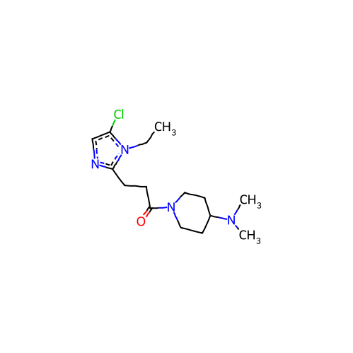 CCn1c(Cl)cnc1CCC(=O)N1CCC(N(C)C)CC1